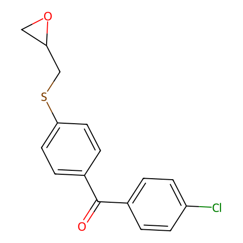 O=C(c1ccc(Cl)cc1)c1ccc(SCC2CO2)cc1